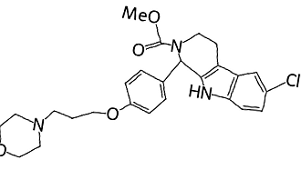 COC(=O)N1CCc2c([nH]c3ccc(Cl)cc23)C1c1ccc(OCCCN2CCOCC2)cc1